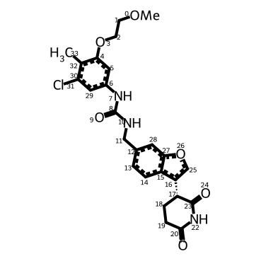 COCCOc1cc(NC(=O)NCc2ccc3c([C@H]4CCC(=O)NC4=O)coc3c2)cc(Cl)c1C